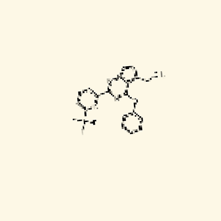 CCc1ccn2nc(-c3cccc(C(F)(F)F)n3)nc(Oc3ccccc3)c12